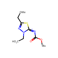 COCc1nn(CC(=O)O)/c(=N\C(=O)OC(C)(C)C)s1